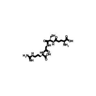 N=C(N)NCCC[C@H](NC(=O)CNC(=O)[C@H](CS)NC(=O)CC[C@H](N)C(=O)O)C(=O)O